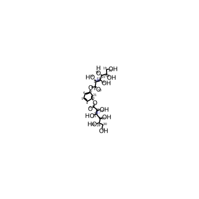 O=C(Oc1cccc(OC(=O)/C(O)=C(\O)C(O)C(O)CO)c1)/C(O)=C(\O)C(O)C(O)CO